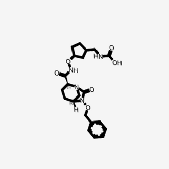 O=C(O)NCC1CCC(ONC(=O)[C@@H]2CC[C@@H]3CN2C(=O)N3OCc2ccccc2)C1